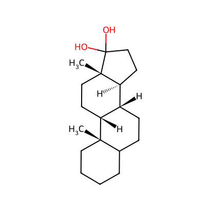 C[C@]12CCCCC1CC[C@@H]1[C@H]2CC[C@@]2(C)[C@H]1CCC2(O)O